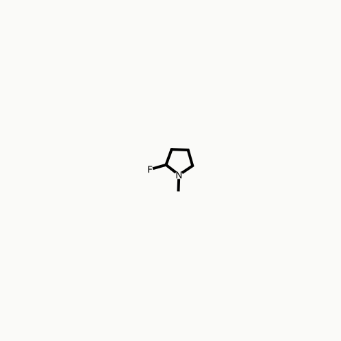 CN1CCCC1F